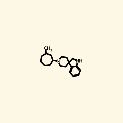 CC1CCCCC(N2CCC3(CC2)CNc2ccccc23)C1